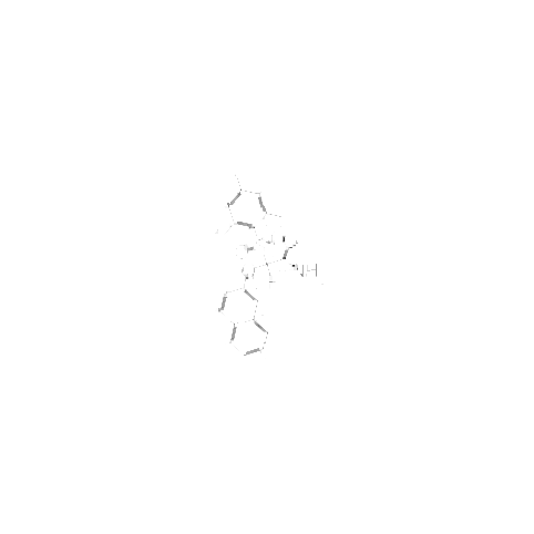 Cc1cc(C)c(S(=O)(=O)C(F)(Oc2ccc3ccccc3c2)C(N)=O)c(C)c1